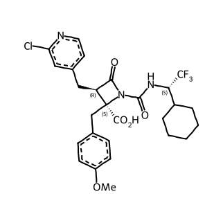 COc1ccc(C[C@@]2(C(=O)O)[C@@H](Cc3ccnc(Cl)c3)C(=O)N2C(=O)N[C@@H](C2CCCCC2)C(F)(F)F)cc1